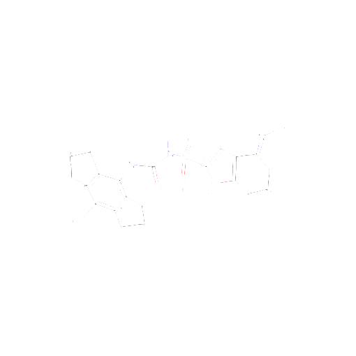 O=C(Nc1c2c(c(Cl)c3c1CCC3)CCC2)NS(=O)(=O)c1cc2c(o1)CCC/C2=N\O